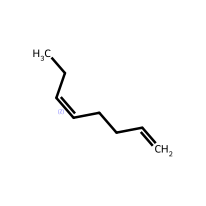 C=CCC/C=C\CC